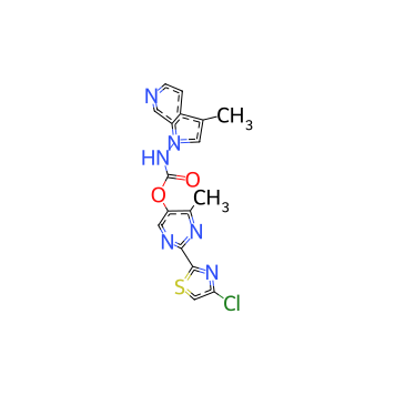 Cc1nc(-c2nc(Cl)cs2)ncc1OC(=O)Nn1cc(C)c2ccncc21